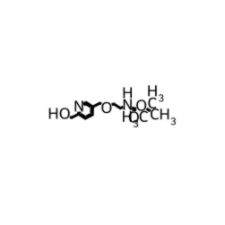 CC(C)(C)OC(=O)NCCOCc1ccc(CO)nc1